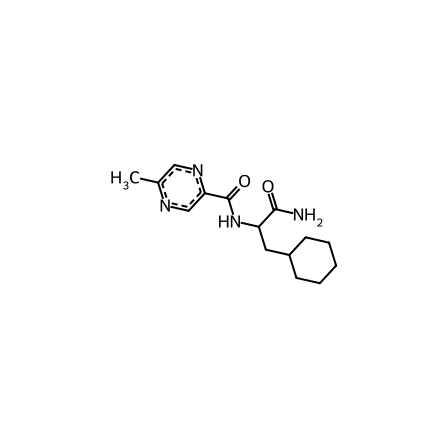 Cc1cnc(C(=O)NC(CC2CCCCC2)C(N)=O)cn1